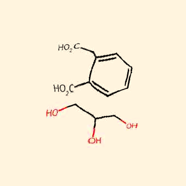 O=C(O)c1ccccc1C(=O)O.OCC(O)CO